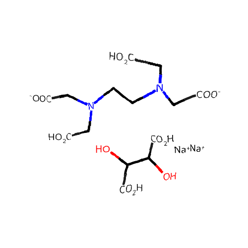 O=C(O)C(O)C(O)C(=O)O.O=C([O-])CN(CCN(CC(=O)[O-])CC(=O)O)CC(=O)O.[Na+].[Na+]